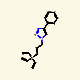 C=C[Si](C=C)(C=C)CCCn1cc(-c2ccccc2)nn1